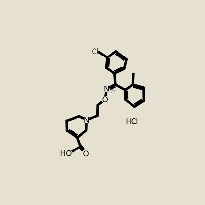 Cc1ccccc1/C(=N\OCCN1CCC=C(C(=O)O)C1)c1cccc(Cl)c1.Cl